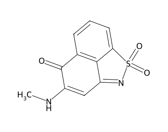 CNC1=CC2=NS(=O)(=O)c3cccc(c32)C1=O